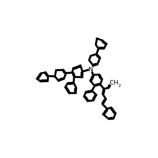 C=C/C(=C\C=C\c1ccccc1)c1ccc(N(C2=CC=C(C3=CC=CCC3)CC2)c2ccc(C3=CCC(c4ccccc4)C=C3)c(-c3ccccc3)c2)cc1-c1ccccc1